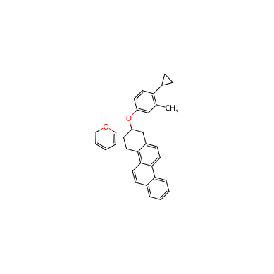 C1=CCOC=C1.Cc1cc(OC2CCc3c(ccc4c3ccc3ccccc34)C2)ccc1C1CC1